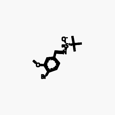 COc1cc(C=N[S@+]([O-])C(C)(C)C)ccc1Br